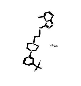 Cc1cccc2nnc(SCCN3CCN(c4cccc(C(F)(F)F)c4)CC3)n12.Cl.Cl